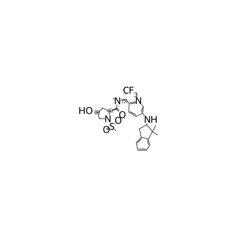 CN(C(=O)[C@@H]1C[C@@H](O)CN1S(C)(=O)=O)[C@@H](c1ccc(NC2Cc3ccccc3C2(C)C)cn1)C(F)(F)F